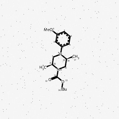 COc1cccc(N2C[C@H](C)N(C(=O)OC(C)(C)C)C[C@@H]2C)c1